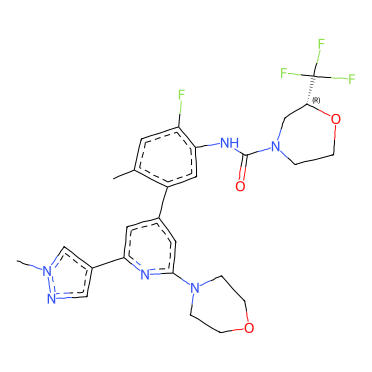 Cc1cc(F)c(NC(=O)N2CCO[C@@H](C(F)(F)F)C2)cc1-c1cc(-c2cnn(C)c2)nc(N2CCOCC2)c1